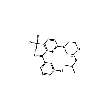 CC(C)C[C@H]1CN(c2ccc(C(F)(F)F)c(C(=O)c3cncc(Cl)c3)n2)CCN1